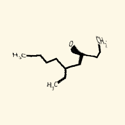 [CH2]CC(=O)CC(CC)CCCC